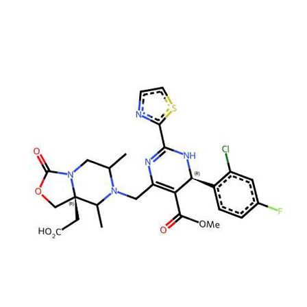 COC(=O)C1=C(CN2C(C)CN3C(=O)OC[C@@]3(CC(=O)O)C2C)N=C(c2nccs2)N[C@H]1c1ccc(F)cc1Cl